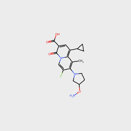 Cc1c(N2CCC(ON)C2)c(F)cn2c(=O)c(C(=O)O)cc(C3CC3)c12